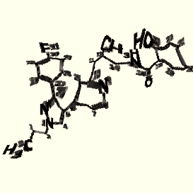 CCCn1cc(-c2ccnc(CC(C)CNC(=O)c3ccccc3O)c2)c(-c2ccc(F)cc2)n1